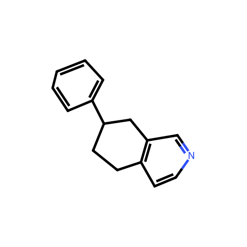 c1ccc(C2CCc3ccncc3C2)cc1